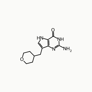 Nc1nc2c(CC3CCOCC3)c[nH]c2c(=O)[nH]1